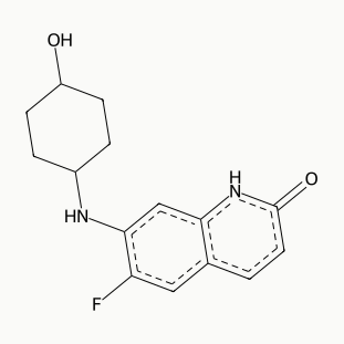 O=c1ccc2cc(F)c(NC3CCC(O)CC3)cc2[nH]1